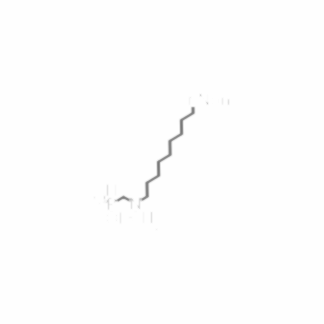 [CH2]N(CCCCCCCCCCCCCCCCCC)C[PH](=O)O